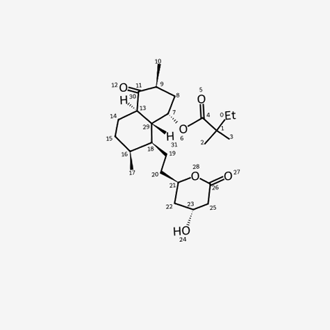 CCC(C)(C)C(=O)O[C@H]1C[C@H](C)C(=O)[C@@H]2CC[C@H](C)[C@H](CC[C@@H]3C[C@@H](O)CC(=O)O3)[C@@H]12